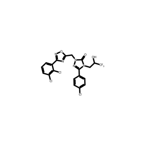 O=c1n(Cc2nc(-c3cccc(Cl)c3Cl)no2)nc(-c2ccc(Cl)cc2)n1CC(O)C(F)(F)F